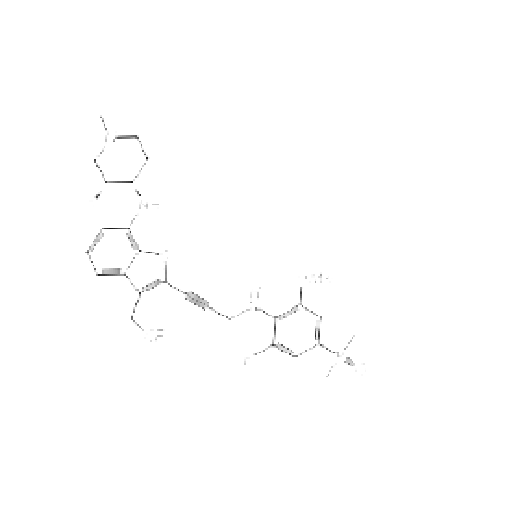 COc1cc(P(C)(C)=O)cc(F)c1NCC#Cc1sc2c(N[C@@H]3CCN(C)C[C@@H]3F)cccc2c1CC(F)(F)F